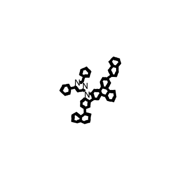 c1ccc(-c2cc(-n3c4ccc(-c5cccc6ccccc56)cc4c4cc5c6ccccc6c6cc(-c7ccc8ccccc8c7)ccc6c5cc43)nc(-c3ccccc3)n2)cc1